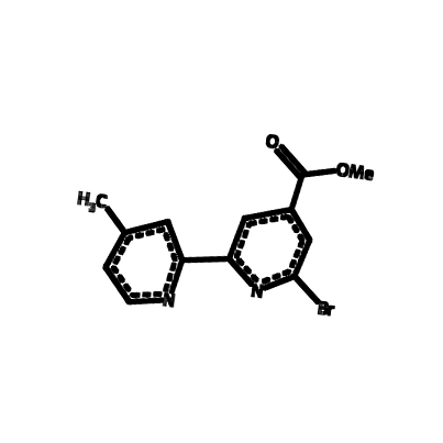 COC(=O)c1cc(Br)nc(-c2cc(C)ccn2)c1